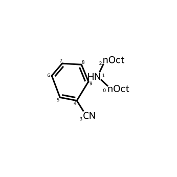 CCCCCCCCNCCCCCCCC.N#Cc1ccccc1